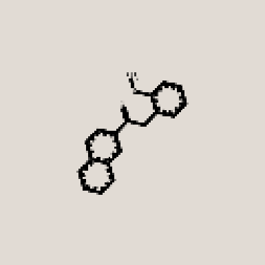 CSc1ccccc1CC(=O)c1ccc2ccccc2c1